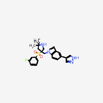 CC1(C)CC(Cn2ccc3cc(-c4cn[nH]c4)ccc32)(S(=O)(=O)c2cccc(F)c2)CN1